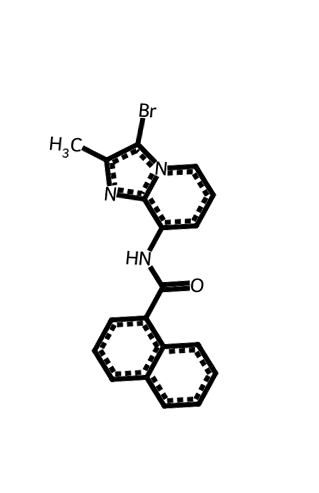 Cc1nc2c(NC(=O)c3cccc4ccccc34)cccn2c1Br